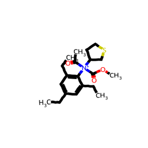 CCc1cc(CC)c([N+](C(C)=O)(C(=O)OC)C2CCSC2)c(CC)c1